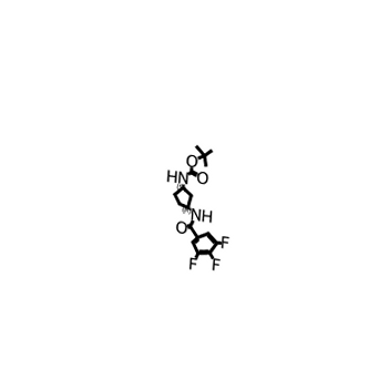 CC(C)(C)OC(=O)N[C@H]1CC[C@@H](NC(=O)c2cc(F)c(F)c(F)c2)C1